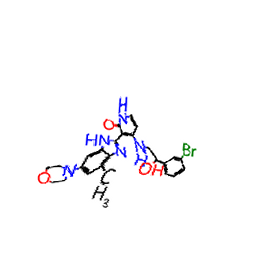 Cc1cc(N2CCOCC2)cc2[nH]c(-c3c(NCC(O)c4cccc(Br)c4)cc[nH]c3=O)nc12